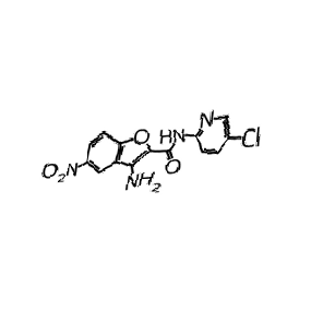 Nc1c(C(=O)Nc2ccc(Cl)cn2)oc2ccc([N+](=O)[O-])cc12